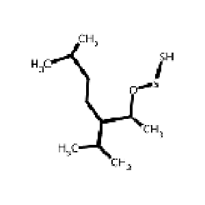 CC(C)CCC(C(C)C)[C@H](C)OSS